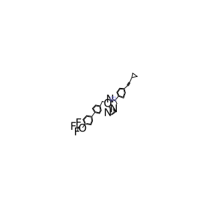 FC(F)(F)Oc1ccc(-c2ccc(CO/N=C(\Cn3ccnc3)c3ccc(C#CC4CC4)cc3)cc2)cc1